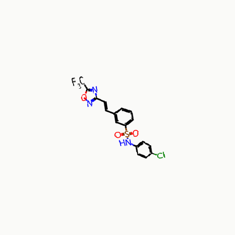 O=S(=O)(Nc1ccc(Cl)cc1)c1cccc(/C=C/c2noc(C(F)(F)F)n2)c1